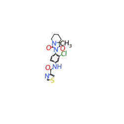 CC12CCCCN1C(=O)N(c1ccc(NC(=O)c3cscn3)cc1Cl)C2=O